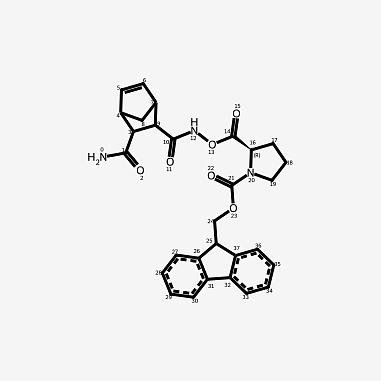 NC(=O)C1C2C=CC(C2)C1C(=O)NOC(=O)[C@H]1CCCN1C(=O)OCC1c2ccccc2-c2ccccc21